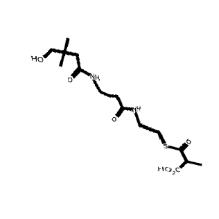 CC(C(=O)O)C(=O)SCCNC(=O)CCNC(=O)CC(C)(C)CO